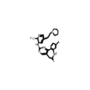 Cc1ncc(CCN2CCCCC2)cc1Nc1ncc2c(n1)-c1ccc(I)cc1NC(=S)C2